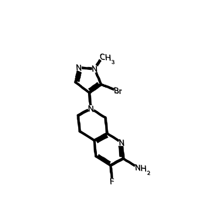 Cn1ncc(N2CCc3cc(F)c(N)nc3C2)c1Br